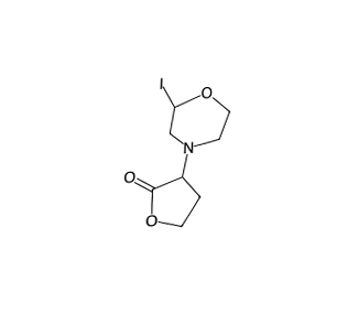 O=C1OCCC1N1CCOC(I)C1